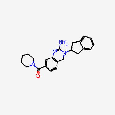 NC1=Nc2cc(C(=O)N3CCCCC3)ccc2CN1C1Cc2ccccc2C1